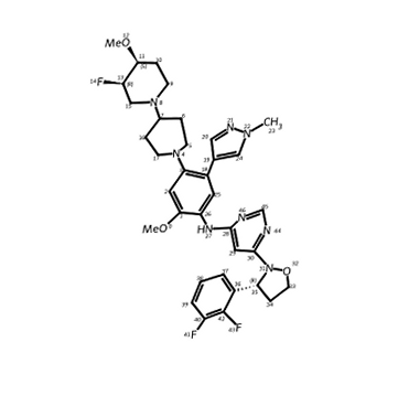 COc1cc(N2CCC(N3CC[C@H](OC)[C@H](F)C3)CC2)c(-c2cnn(C)c2)cc1Nc1cc(N2OCC[C@@H]2c2cccc(F)c2F)ncn1